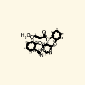 COC=CC(=O)Oc1ccccc1Oc1cc(Oc2ccccc2C#N)ncn1